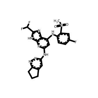 CS(=O)(=O)c1cc(F)ccc1Nc1cc(Nc2cc3c(nn2)CCC3)nc2[nH]c(C(F)F)nc12